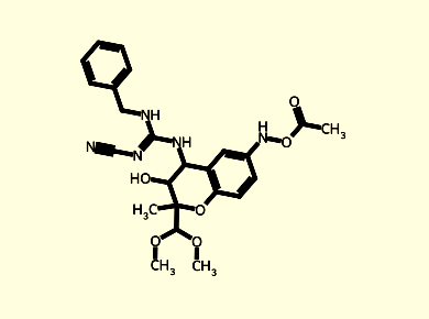 COC(OC)C1(C)Oc2ccc(NOC(C)=O)cc2C(NC(=NC#N)NCc2ccccc2)C1O